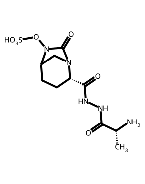 C[C@@H](N)C(=O)NNC(=O)[C@@H]1CCC2CN1C(=O)N2OS(=O)(=O)O